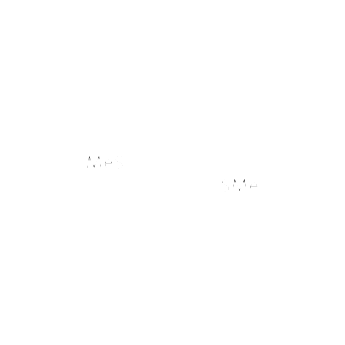 CS/C=C/CSC